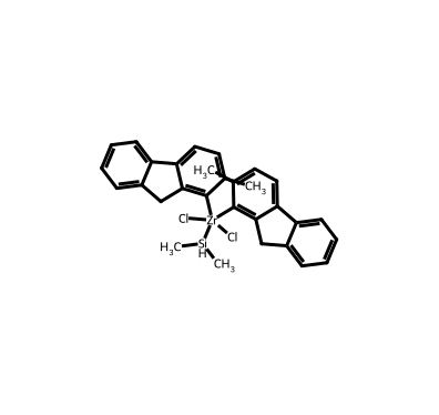 Cc1ccc2c([c]1[Zr]([Cl])([Cl])([c]1c(C)ccc3c1Cc1ccccc1-3)[SiH](C)C)Cc1ccccc1-2